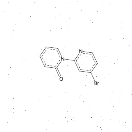 O=c1ccccn1-c1cc(Br)ccn1